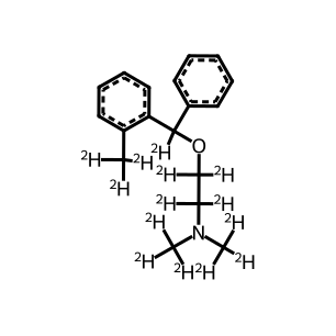 [2H]C([2H])([2H])c1ccccc1C([2H])(OC([2H])([2H])C([2H])([2H])N(C([2H])([2H])[2H])C([2H])([2H])[2H])c1ccccc1